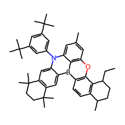 CCC1CCC(C)c2ccc3c(c21)Oc1cc(C)cc2c1B3c1cc3c(cc1N2c1cc(C(C)(C)C)cc(C(C)(C)C)c1)C(C)(C)CCC3(C)C